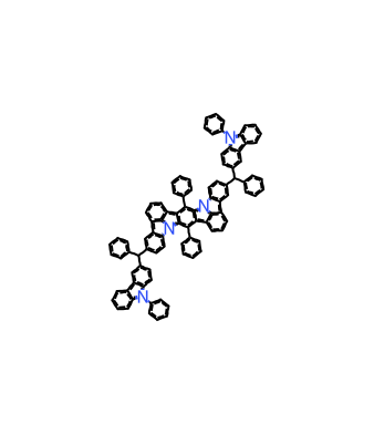 c1ccc(-c2c3c4cccc5c6cc(C(c7ccccc7)c7ccc8c(c7)c7ccccc7n8-c7ccccc7)ccc6n(c3c(-c3ccccc3)c3c6cccc7c8cc(C(c9ccccc9)c9ccc%10c(c9)c9ccccc9n%10-c9ccccc9)ccc8n(c23)c76)c54)cc1